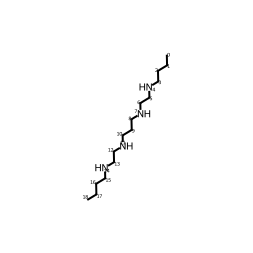 CCCCNCCNCCCNCCNCCCC